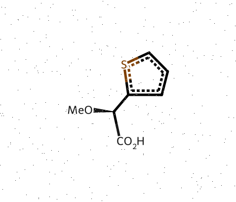 CO[C@H](C(=O)O)c1cccs1